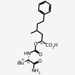 CC[C@H](C)[C@H](NC(=O)O[C@@H](CC(C)CCc1ccccc1)C(=O)O)C(N)=O